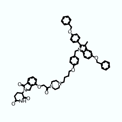 Cc1c(-c2ccc(OCc3ccccc3)cc2)n(Cc2ccc(OCCCCN3CCN(C(=O)COc4cccc5c4CN(C4CCC(=O)NC4=O)C5=O)CC3)cc2)c2ccc(OCc3ccccc3)cc12